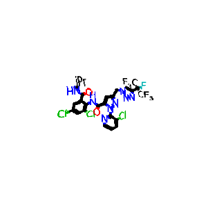 CC(C)NC(=O)c1cc(Cl)cc(Cl)c1NC(=O)c1cc(Cn2cc(C(F)(C(F)(F)F)C(F)(F)F)nn2)nn1-c1ncccc1Cl